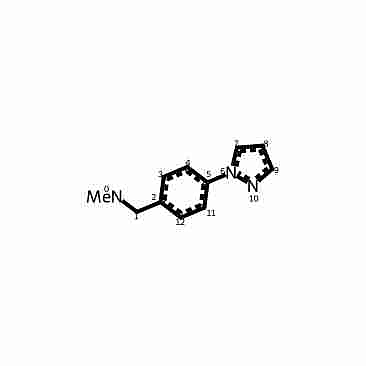 CNCc1ccc(-n2cccn2)cc1